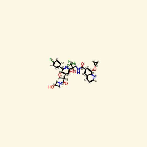 C[C@]1(C(=O)N2CC(O)C2)COc2c1cc([C@@](O)(CNC(=O)c1cc(OC3CC3)c3ncccc3c1)C(F)(F)F)nc2-c1ccc(F)cc1